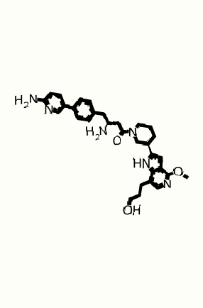 COc1ncc(CCCO)c2[nH]c([C@@H]3CCCN(C(=O)C[C@H](N)Cc4ccc(-c5ccc(N)nc5)cc4)C3)cc12